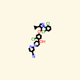 N#Cc1ccnc(N2CCC(O)(c3ccc(OCc4c(C5CC5)cnn4-c4c(Cl)cccc4Cl)cc3Cl)CC2)c1